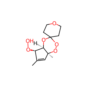 CC1=C[C@]2(C)OOC3(CCOCC3)O[C@@H]2[C@@H]1OO